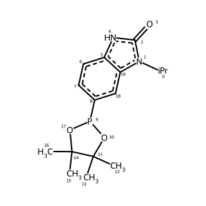 CC(C)n1c(=O)[nH]c2ccc(P3OC(C)(C)C(C)(C)O3)cc21